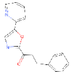 O=C(CCc1ccccc1)c1ncc(-c2ccccn2)o1